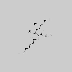 CC(=O)OCC1OC(N=[N+]=[N-])C(NC(=O)CCCC(=O)NS)C(OC(C)=O)C1OC(C)=O